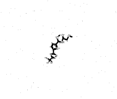 COCC(=O)NC(OC)c1ccc(-c2noc(C(F)(F)F)n2)s1